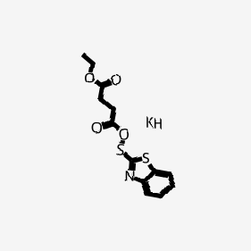 CCOC(=O)CCC(=O)OSc1nc2ccccc2s1.[KH]